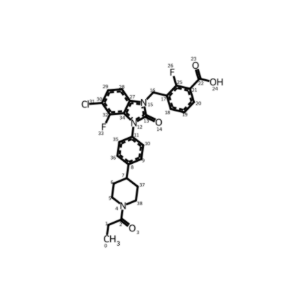 CCC(=O)N1CCC(c2ccc(-n3c(=O)n(Cc4cccc(C(=O)O)c4F)c4ccc(Cl)c(F)c43)cc2)CC1